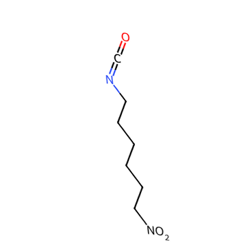 O=C=NCCCCCC[N+](=O)[O-]